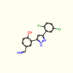 N=Cc1ccc(O)c(-c2cc(-c3cc(Cl)ccc3F)n[nH]2)c1